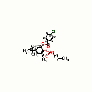 CCCCOC(=O)Oc1c(C)cc(C(C)(C)C)cc1OC(=O)c1ccc(Cl)cc1